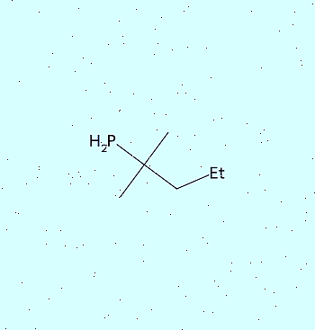 [CH2]CCC(C)(C)P